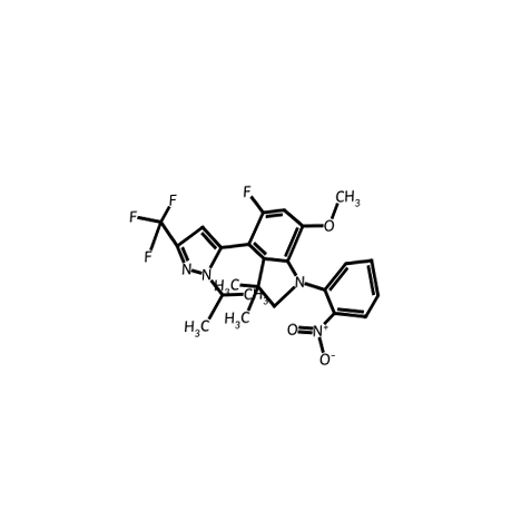 COc1cc(F)c(-c2cc(C(F)(F)F)nn2C(C)C)c2c1N(c1ccccc1[N+](=O)[O-])CC2(C)C